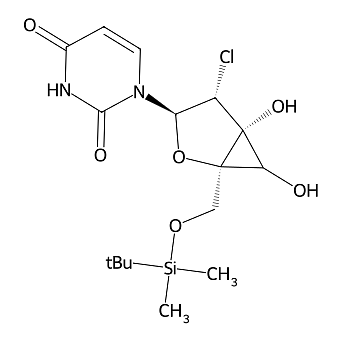 CC(C)(C)[Si](C)(C)OC[C@]12O[C@@H](n3ccc(=O)[nH]c3=O)[C@H](Cl)[C@@]1(O)C2O